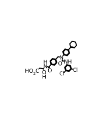 O=C(O)C[C@@H](O)NC(=O)c1ccc(CN(C(=O)Nc2cc(Cl)cc(Cl)c2)c2ccc(C3=CCCCC3)cc2)cc1